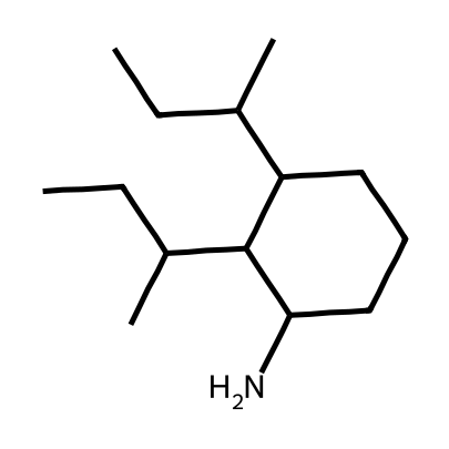 CCC(C)C1CCCC(N)C1C(C)CC